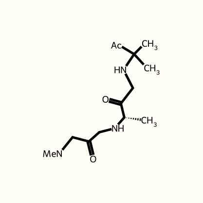 CNCC(=O)CN[C@@H](C)C(=O)CNC(C)(C)C(C)=O